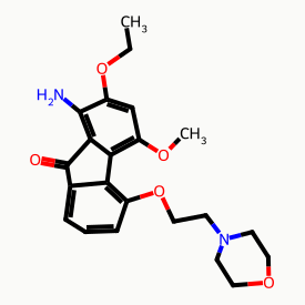 CCOc1cc(OC)c2c(c1N)C(=O)c1cccc(OCCN3CCOCC3)c1-2